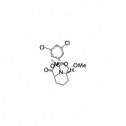 CO[C@H]1CN(C)C(=O)C2CCC[C@@H]1N2S(=O)(=O)c1cc(Cl)cc(Cl)c1